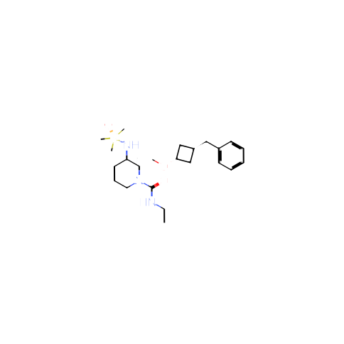 CCNC(=O)N1CCCC(NS(C)(C)(C)=O)[C@@H]1CO[C@H]1C[C@H](Cc2ccccc2)C1